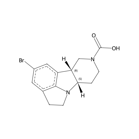 O=C(O)N1CC[C@H]2[C@@H](C1)c1cc(Br)cc3c1N2CC3